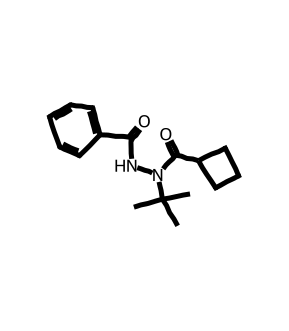 CC(C)(C)N(NC(=O)c1ccccc1)C(=O)C1CCC1